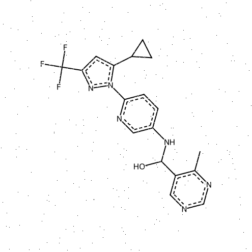 Cc1ncncc1C(O)Nc1ccc(-n2nc(C(F)(F)F)cc2C2CC2)nc1